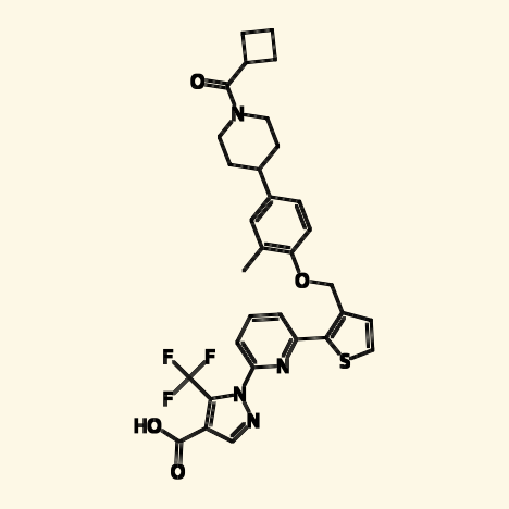 Cc1cc(C2CCN(C(=O)C3CCC3)CC2)ccc1OCc1ccsc1-c1cccc(-n2ncc(C(=O)O)c2C(F)(F)F)n1